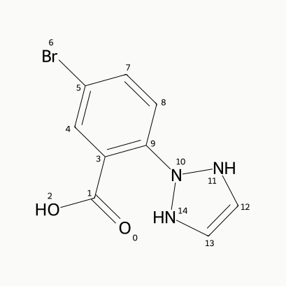 O=C(O)c1cc(Br)ccc1N1NC=CN1